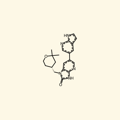 CC1(C)C[C@H](Cn2c(=O)[nH]c3ncc(-c4cnc5[nH]ccc5c4)cc32)CCO1